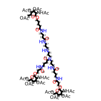 CC(=O)NC1[C@H](OCCCCC(=O)NCCCC(=O)NCCCNCCCN(CCCNC(=O)CCCNC(=O)CCO[C@@H]2OC(COC(C)=O)[C@H](OC(C)=O)[C@H](OC(C)=O)C2NC(C)=O)C(=O)CCCNC(=O)CCO[C@@H]2OC(COC(C)=O)[C@H](OC(C)=O)[C@H](OC(C)=O)C2NC(C)=O)OC(COC(C)=O)[C@H](OC(C)=O)[C@@H]1OC(C)=O